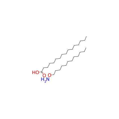 CCCCCCCCCCCCCCCC(=O)O.CCCCCCCCCCCCON